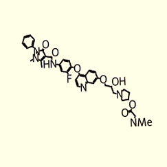 CNCC(=O)OC1CCN(CC(O)COc2ccc3c(Oc4ccc(NC(=O)c5c(C)n(C)n(-c6ccccc6)c5=O)cc4F)ccnc3c2)C1